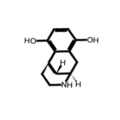 Oc1ccc(O)c2c1C[C@H]1NCC[C@@]23CCCC[C@@H]13